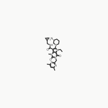 CCn1c(N2CCC[C@@H](N)C2)c(C(=O)NCC2CC2)c2c1c(=O)n(Cc1nc(C)cc(C)n1)c(=O)n2C